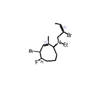 C/C=C(/Br)CN(CC)C1CCC[C@@H](F)C(Br)/C=C\1C